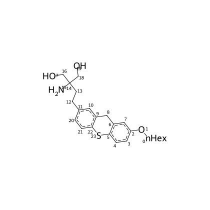 CCCCCCOc1ccc2c(c1)Cc1cc(CCC(N)(CO)CO)ccc1S2